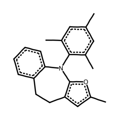 Cc1cc(C)c(N2c3ccccc3CCc3cc(C)oc32)c(C)c1